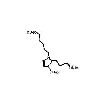 CCCCCCCCCCCCCCCN1C=CN(CCCCCC)C1CCCCCCCCCCCCC